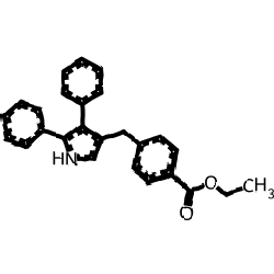 CCOC(=O)c1ccc(Cc2c[nH]c(-c3ccccc3)c2-c2ccccc2)cc1